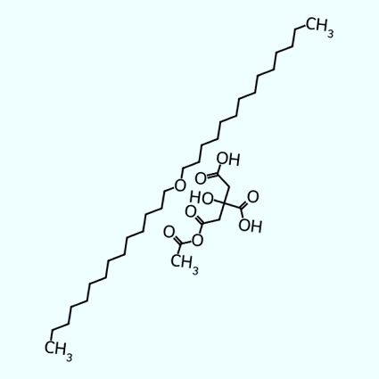 CC(=O)OC(=O)CC(O)(CC(=O)O)C(=O)O.CCCCCCCCCCCCCCOCCCCCCCCCCCCCC